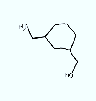 NCC1CCCC(CO)C1